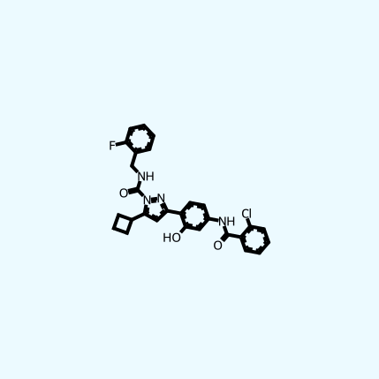 O=C(Nc1ccc(-c2cc(C3CCC3)n(C(=O)NCc3ccccc3F)n2)c(O)c1)c1ccccc1Cl